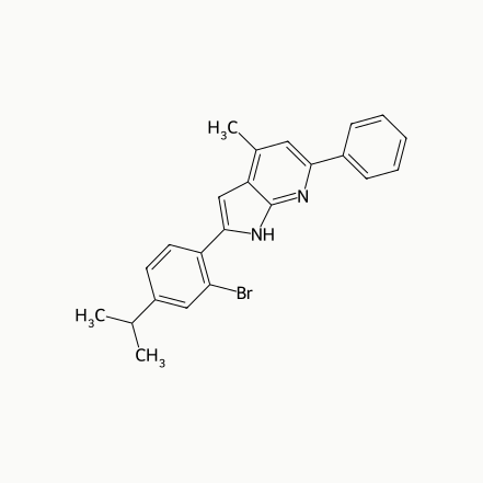 Cc1cc(-c2ccccc2)nc2[nH]c(-c3ccc(C(C)C)cc3Br)cc12